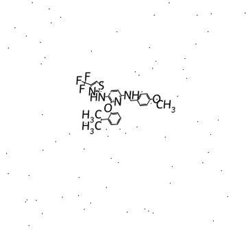 COc1ccc(CNc2ccc(Nc3nc(C(F)(F)F)cs3)c(Oc3ccccc3C(C)C)n2)cc1